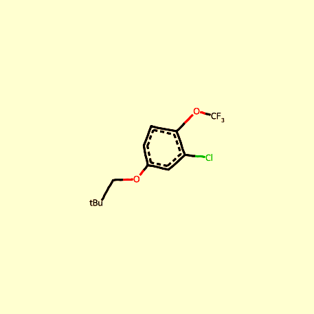 CC(C)(C)COc1ccc(OC(F)(F)F)c(Cl)c1